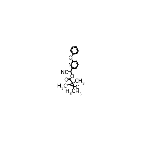 CC1C(C)(C)[C@@]1(C)C(=O)O[C@@H](C#N)c1cccc(Oc2ccccc2)n1